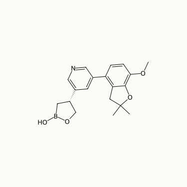 COc1ccc(-c2cncc([C@@H]3COB(O)C3)c2)c2c1OC(C)(C)C2